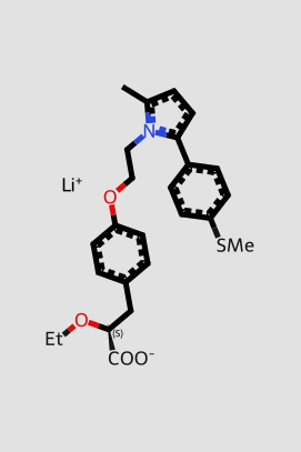 CCO[C@@H](Cc1ccc(OCCn2c(C)ccc2-c2ccc(SC)cc2)cc1)C(=O)[O-].[Li+]